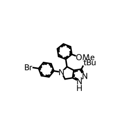 COc1ccccc1C1c2c(C(C)(C)C)n[nH]c2CN1c1ccc(Br)cc1